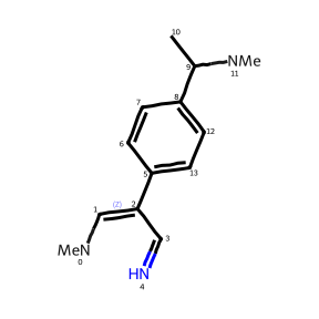 CN/C=C(\C=N)c1ccc(C(C)NC)cc1